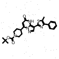 Cc1sc(-c2cnn3c(C4CCN(C(=O)OC(C)(C)C)CC4)cc(=O)[nH]c23)nc1-c1ccccc1